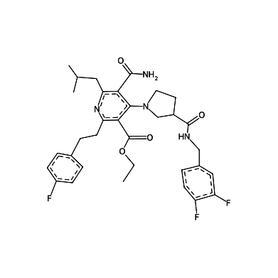 CCOC(=O)c1c(CCc2ccc(F)cc2)nc(CC(C)C)c(C(N)=O)c1N1CCC(C(=O)NCc2ccc(F)c(F)c2)C1